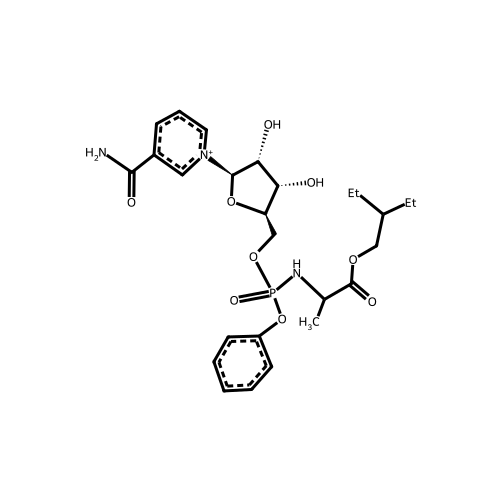 CCC(CC)COC(=O)C(C)NP(=O)(OC[C@H]1O[C@@H]([n+]2cccc(C(N)=O)c2)[C@H](O)[C@@H]1O)Oc1ccccc1